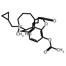 CC(=O)Oc1ccc2c3c1OC1C(=O)CC[C@@]4(O)C(C2)[N+](C)(CC2CC2)CCCC314